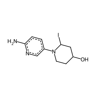 Nc1ccc(N2CCC(O)CC2I)cn1